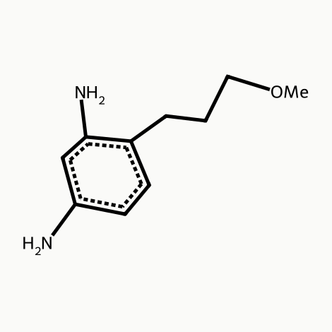 COCCCc1ccc(N)cc1N